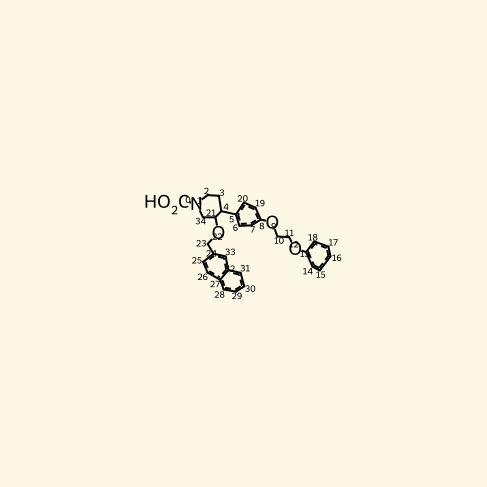 O=C(O)N1CCC(c2ccc(OCCOc3ccccc3)cc2)C(OCc2ccc3ccccc3c2)C1